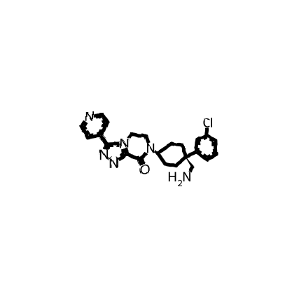 NC[C@]1(c2cccc(Cl)c2)CC[C@H](N2CCn3c(nnc3-c3ccncc3)C2=O)CC1